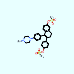 CC(C)N1CCN(c2ccc(C3=C(c4ccc(OS(=O)(=O)C(F)(F)F)cc4)CCc4cc(OS(=O)(=O)C(F)(F)F)ccc43)cc2)CC1